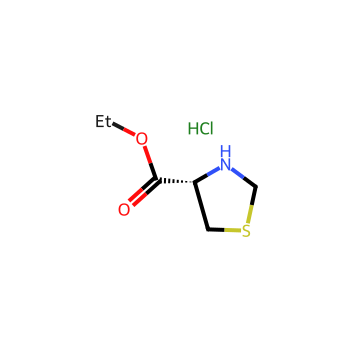 CCOC(=O)[C@H]1CSCN1.Cl